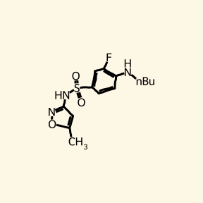 CCCCNc1ccc(S(=O)(=O)Nc2cc(C)on2)cc1F